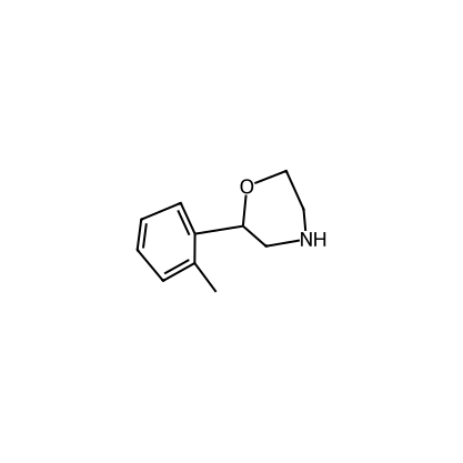 Cc1ccccc1C1CNCCO1